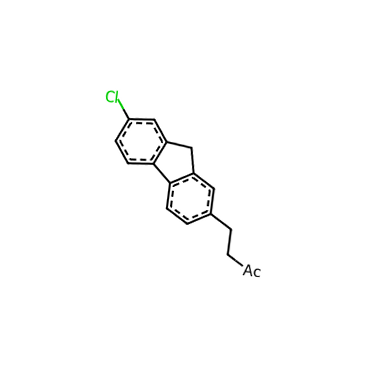 CC(=O)CCc1ccc2c(c1)Cc1cc(Cl)ccc1-2